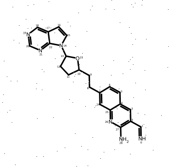 N=Cc1cc2ccc(CCC3CCC(n4ccc5cncnc54)O3)cc2nc1N